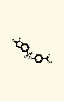 O=C1Cc2cc(S(=O)(=O)Nc3ccc(C(=O)O)cc3)ccc2N1